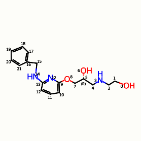 OCCNC[C@@H](O)COc1cccc(NCc2ccccc2)n1